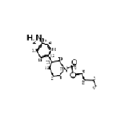 CCCCOC(=O)N1CCCC(c2ccc(N)cc2)C1